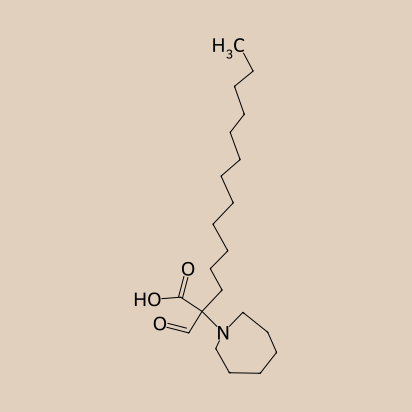 CCCCCCCCCCCCC(C=O)(C(=O)O)N1CCCCCC1